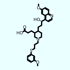 COc1cccc(SCCCN2CCC(CC[C@H](O)c3ccnc4ccc(OC)cc34)C(CCC(=O)O)C2)c1